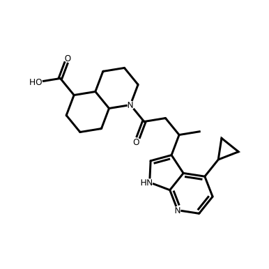 CC(CC(=O)N1CCCC2C(C(=O)O)CCCC21)c1c[nH]c2nccc(C3CC3)c12